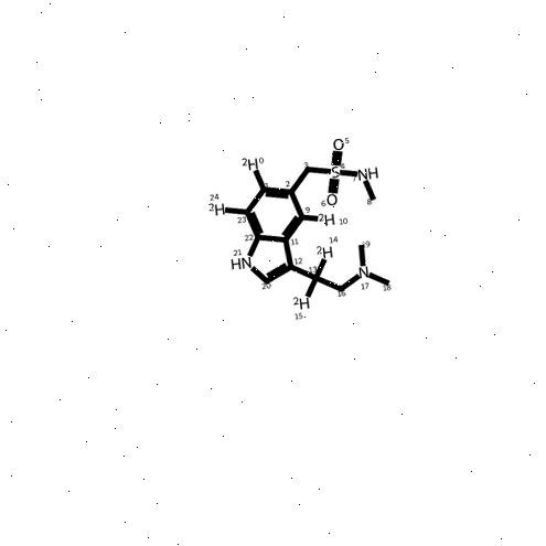 [2H]c1c(CS(=O)(=O)NC)c([2H])c2c(C([2H])([2H])CN(C)C)c[nH]c2c1[2H]